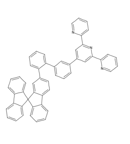 c1ccc(-c2cc(-c3cccc(-c4ccccc4-c4ccc5c(c4)C4(c6ccccc6-c6ccccc64)c4ccccc4-5)c3)cc(-c3ccccn3)n2)nc1